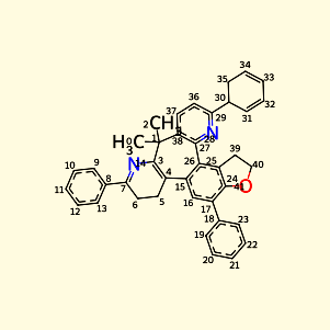 CC1(C)C2=C(CCC(c3ccccc3)=N2)c2cc(-c3ccccc3)c3c(c2-c2nc(C4C=CC=CC4)ccc21)CCO3